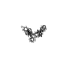 Cc1ccc(S(=O)(=O)n2cc(-c3ccc4ncc(N5CCOCC5)nc4c3)c(-c3ccccc3)n2)cc1